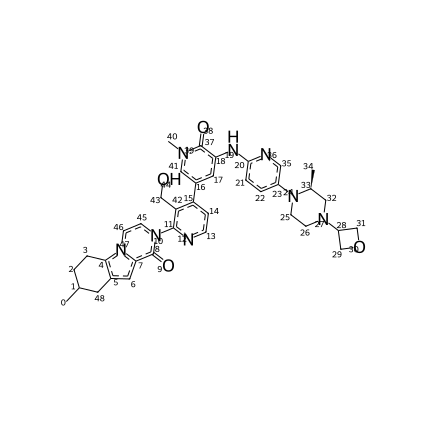 CC1CCc2c(cc3c(=O)n(-c4nccc(-c5cc(Nc6ccc(N7CCN(C8COC8)C[C@@H]7C)cn6)c(=O)n(C)c5)c4CO)ccn23)C1